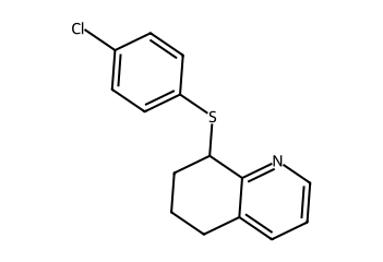 Clc1ccc(SC2CCCc3cccnc32)cc1